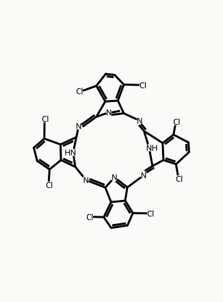 Clc1ccc(Cl)c2c1-c1nc-2nc2[nH]c(nc3nc(nc4[nH]c(n1)c1c(Cl)ccc(Cl)c41)-c1c(Cl)ccc(Cl)c1-3)c1c(Cl)ccc(Cl)c21